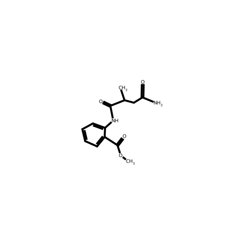 COC(=O)c1ccccc1NC(=O)C(C)CC(N)=O